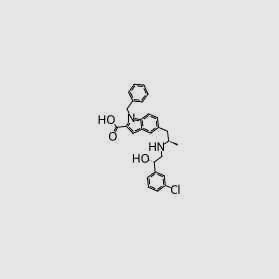 C[C@H](Cc1ccc2c(c1)cc(C(=O)O)n2Cc1ccccc1)NC[C@@H](O)c1cccc(Cl)c1